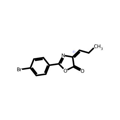 CC/C=C1/N=C(c2ccc(Br)cc2)OC1=O